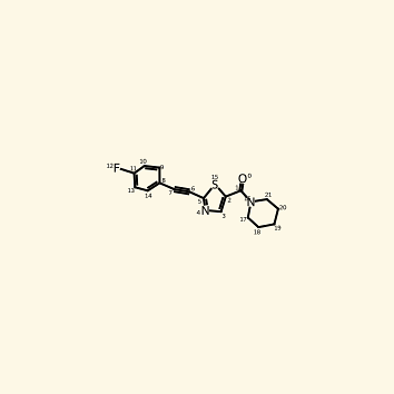 O=C(c1cnc(C#Cc2ccc(F)cc2)s1)N1CCCCC1